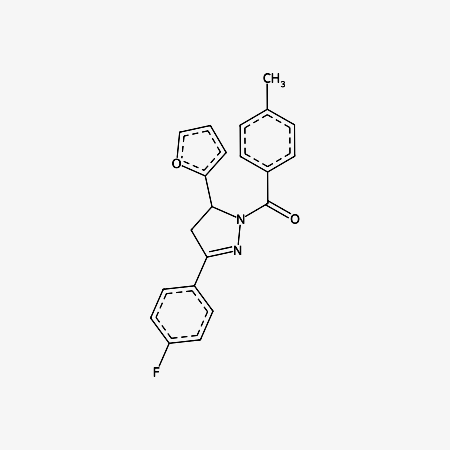 Cc1ccc(C(=O)N2N=C(c3ccc(F)cc3)CC2c2ccco2)cc1